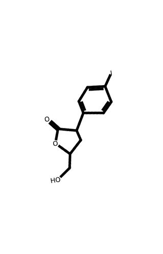 O=C1OC(CO)CC1c1ccc(I)cc1